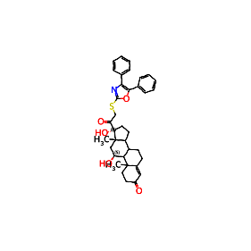 CC12CCC(=O)C=C1CCC1C2[C@@H](O)CC2(C)C1CC[C@]2(O)C(=O)CSc1nc(-c2ccccc2)c(-c2ccccc2)o1